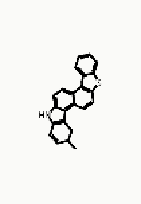 CC1C=Cc2[nH]c3ccc4c(ccc5sc6ccccc6c54)c3c2C1